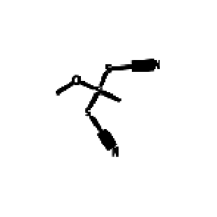 CO[Si](C)(SC#N)SC#N